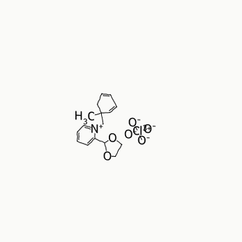 CC1(C[n+]2ccccc2C2OCCO2)C=CC=CC1.[O-][Cl+3]([O-])([O-])[O-]